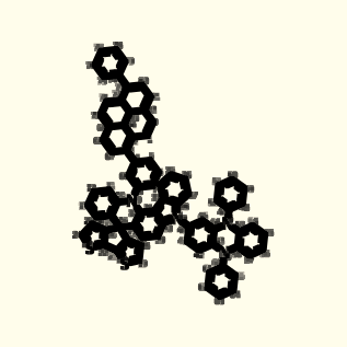 C1=CC2=C(c3cccc(N4c5ccccc5C5(c6ccsc6-c6sccc65)c5ccc6c(c54)c4ccccc4n6-c4ccc5c(c4)N(c4ccccc4)c4ccccc4N5c4ccccc4)c3)C=CC3=CC=C4C(c5ccccc5)=CC=C1C4C32